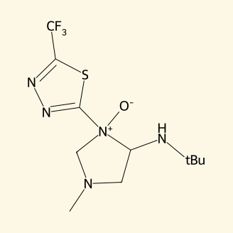 CN1CC(NC(C)(C)C)[N+]([O-])(c2nnc(C(F)(F)F)s2)C1